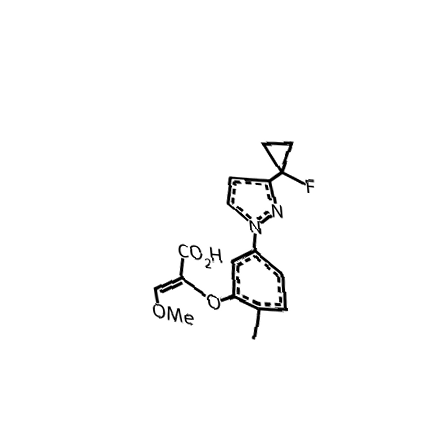 CO/C=C(\Oc1cc(-n2ccc(C3(F)CC3)n2)ccc1C)C(=O)O